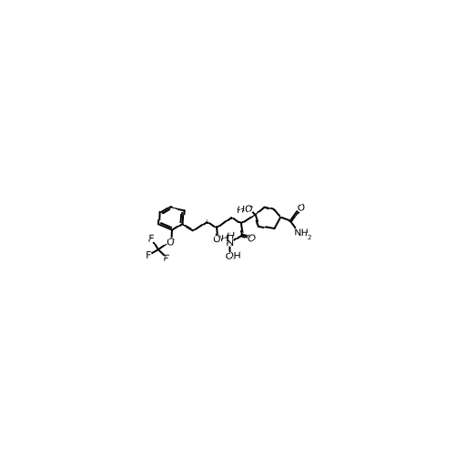 NC(=O)C1CCC(O)(C(CC(O)[CH]Cc2ccccc2OC(F)(F)F)C(=O)NO)CC1